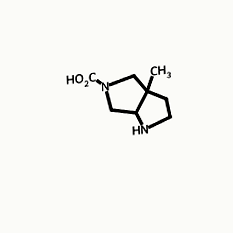 CC12CCNC1CN(C(=O)O)C2